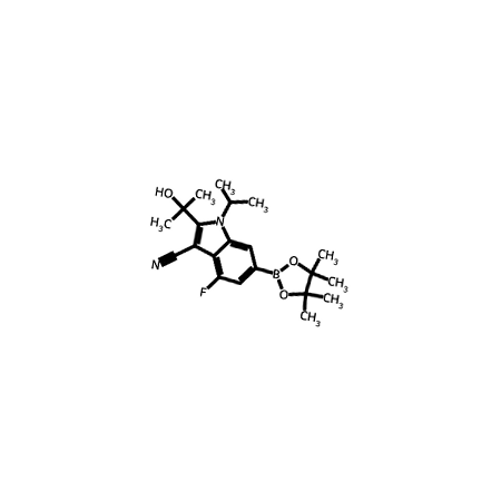 CC(C)n1c(C(C)(C)O)c(C#N)c2c(F)cc(B3OC(C)(C)C(C)(C)O3)cc21